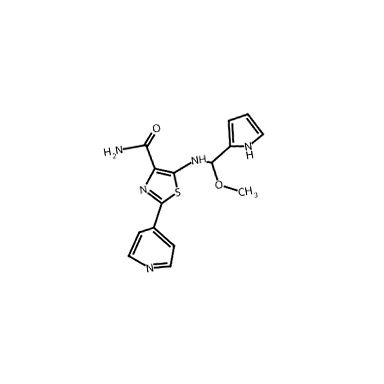 COC(Nc1sc(-c2ccncc2)nc1C(N)=O)c1ccc[nH]1